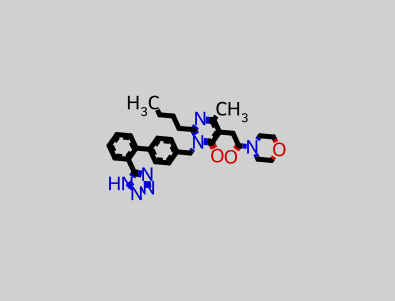 CCCCc1nc(C)c(CC(=O)N2CCOCC2)c(=O)n1Cc1ccc(-c2ccccc2-c2nnn[nH]2)cc1